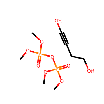 COP(=O)(OC)OP(=O)(OC)OC.OC#CCCO